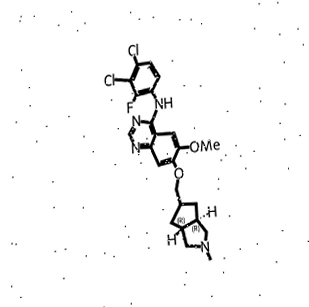 COc1cc2c(Nc3ccc(Cl)c(Cl)c3F)ncnc2cc1OCC1C[C@H]2CN(C)C[C@@H]2C1